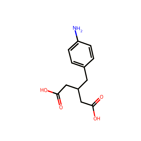 Nc1ccc(CC(CC(=O)O)CC(=O)O)cc1